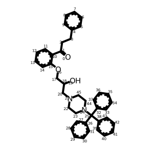 O=C(CCc1ccccc1)c1ccccc1OCC(O)CN1CCN(C(c2ccccc2)(c2ccccc2)c2ccccc2)CC1